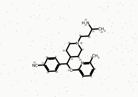 Cc1cccc(OC(c2ccc(C#N)cc2)C2CCN(CCC(C)N)CC2)n1